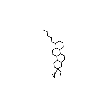 CCCCCC1CCCC2C1CCC1C3CCC(C#N)(CC)CC3CCC21